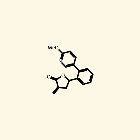 C=C1CC(c2ccccc2-c2ccc(OC)nc2)OC1=O